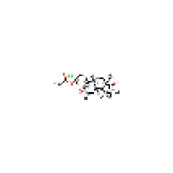 CC(C)(C)C(=O)O[C@@]1(Cl)CC[C@]2(C)[C@H]3CC[C@]4(C)C(=O)[C@H]5C[C@H]5[C@H]4[C@@H]3C[C@H]3O[C@]32C1